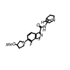 COC1CCN(c2ccc3c(C(=O)N[C@H]4CN5CCC4CC5)nsc3c2F)C1